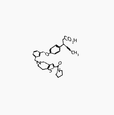 CC#CC(CC(=O)O)c1ccc(OCc2cccc(CN3CCc4sc(C(=O)N5CCCC5)cc4C3)c2)cc1